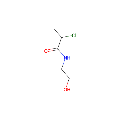 CC(Cl)C(=O)NCCO